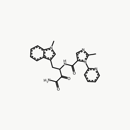 Cc1ncc(C(=O)NC(Cc2cn(C)c3ccccc23)C(=O)C(N)=O)n1-c1ccccn1